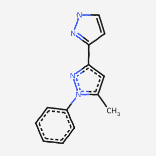 Cc1cc(C2=N[N]C=C2)nn1-c1ccccc1